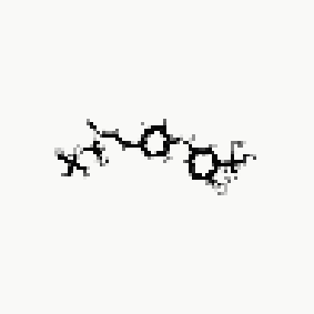 CN(CCc1ccc(Oc2ccc(Cl)c(C(F)(F)F)c2)cc1)C(=O)OC(C)(C)C